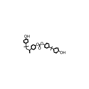 C=C(CC(C)(C)c1ccc(O)cc1)c1ccc(OC(=O)Oc2ccc(C(C)(C)c3ccc(O)cc3)cc2)cc1